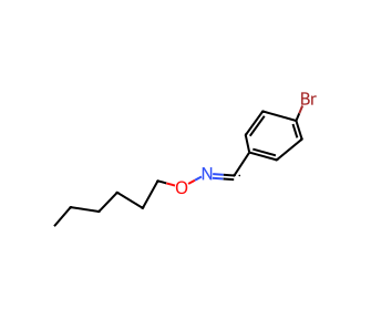 CCCCCCO/N=[C]/c1ccc(Br)cc1